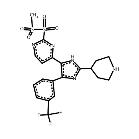 CS(=O)(=O)S(=O)(=O)c1nccc(-c2[nH]c(C3CCNCC3)nc2-c2cccc(C(F)(F)F)c2)n1